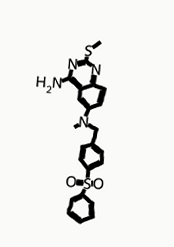 CSc1nc(N)c2cc(N(C)Cc3ccc(S(=O)(=O)c4ccccc4)cc3)ccc2n1